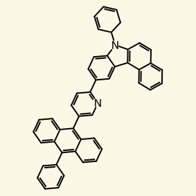 C1=CCC(n2c3ccc(-c4ccc(-c5c6ccccc6c(-c6ccccc6)c6ccccc56)cn4)cc3c3c4ccccc4ccc32)C=C1